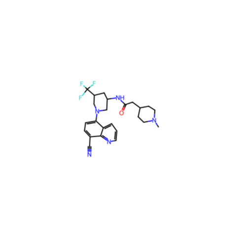 CN1CCC(CC(=O)NC2CC(C(F)(F)F)CN(c3ccc(C#N)c4ncccc34)C2)CC1